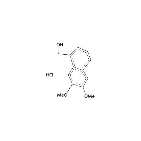 COc1cc2cccc(CO)c2cc1OC.Cl